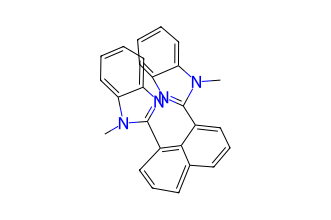 Cn1c(-c2cccc3cccc(-c4nc5ccccc5n4C)c23)nc2ccccc21